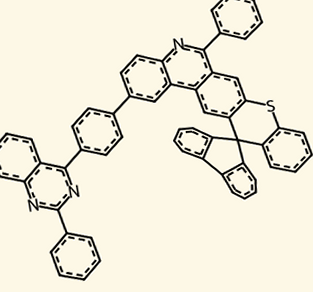 c1ccc(-c2nc(-c3ccc(-c4ccc5nc(-c6ccccc6)c6cc7c(cc6c5c4)C4(c5ccccc5S7)c5ccccc5-c5ccccc54)cc3)c3ccccc3n2)cc1